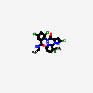 CCNC(=O)c1cc(Cl)cc(Cl)c1NC(=O)c1cc(Cl)nn1C1N=CC=CC1(C)Cl